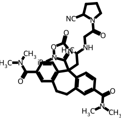 CC(C)n1oc(=O)nc1C1(C[C@@H](C)NCC(=O)N2CCCC2C#N)c2ccc(C(=O)N(C)C)cc2CCc2cc(C(=O)N(C)C)ccc21